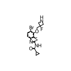 O=C(Nc1nc2ccc(Br)c(OCC3(F)CNC3)c2s1)C1CC1